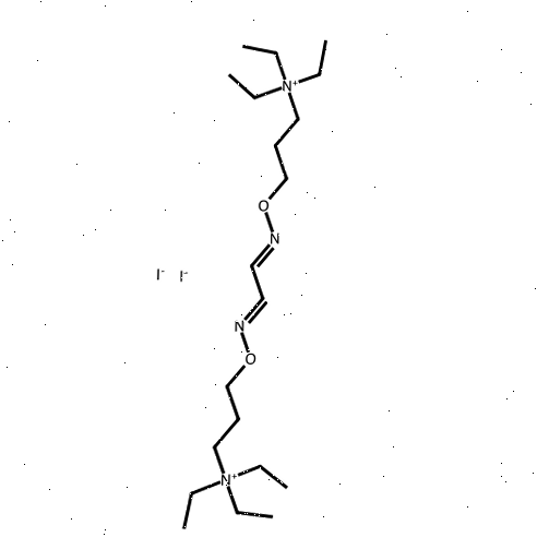 CC[N+](CC)(CC)CCCO/N=C/C=N/OCCC[N+](CC)(CC)CC.[I-].[I-]